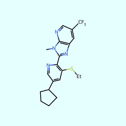 CCSc1cc(C2CCCC2)cnc1-c1nc2cc(C(F)(F)F)cnc2n1C